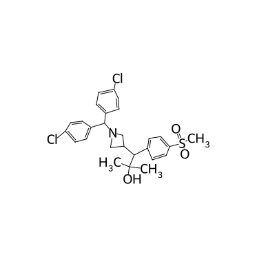 CC(C)(O)C(c1ccc(S(C)(=O)=O)cc1)C1CN(C(c2ccc(Cl)cc2)c2ccc(Cl)cc2)C1